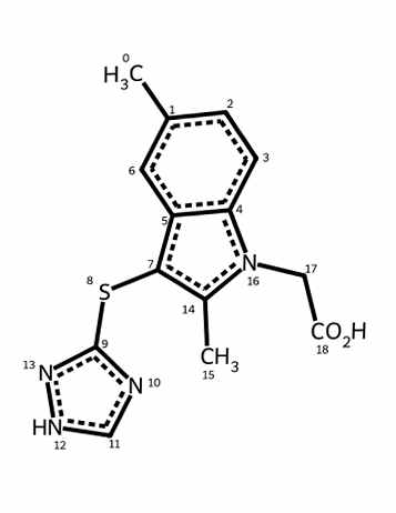 Cc1ccc2c(c1)c(Sc1nc[nH]n1)c(C)n2CC(=O)O